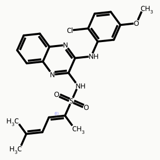 COc1ccc(Cl)c(Nc2nc3ccccc3nc2NS(=O)(=O)/C(C)=C/C=C(C)C)c1